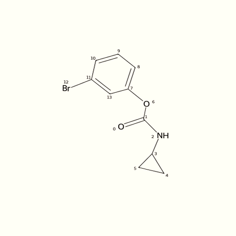 O=C(NC1CC1)Oc1cccc(Br)c1